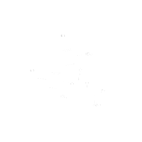 CCCCC(CC)COp1oc2c(C(C)(C)C)cc(CC(C)C)cc2c2cc(CC(C)C)cc(C(C)(C)C)c2o1